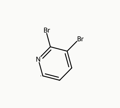 Brc1cc[c]nc1Br